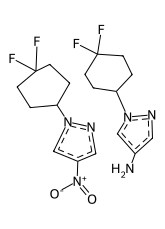 Nc1cnn(C2CCC(F)(F)CC2)c1.O=[N+]([O-])c1cnn(C2CCC(F)(F)CC2)c1